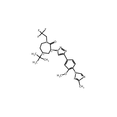 COc1cc(-c2cn([C@H]3C[C@@H](C(C)(C)C)CCN(CC(F)(F)F)C3=O)nn2)ccc1-n1cnc(C)n1